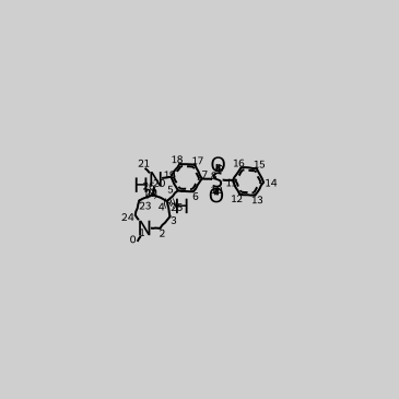 CN1CC[C@@H]2c3cc(S(=O)(=O)c4ccccc4)ccc3N(C)[C@@H]2CC1